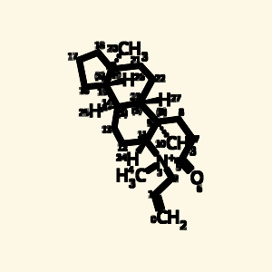 C=CC[N+]1(C)C(=O)CC[C@@]2(C)[C@H]1CC[C@H]1[C@@H]3CCC[C@@]3(C)CC[C@@H]12